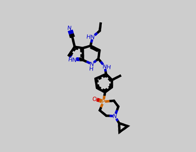 CCNC1=CC(Nc2ccc(P3(=O)CCN(C4CC4)CC3)cc2C)Nc2[nH]cc(C#N)c21